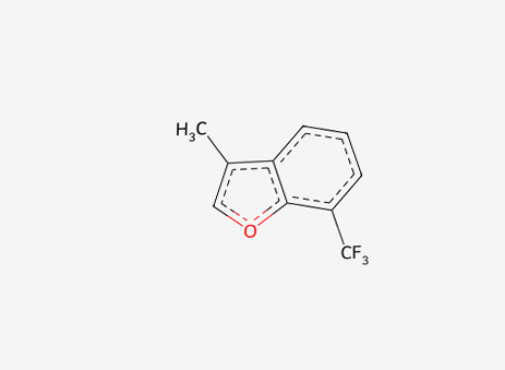 Cc1coc2c(C(F)(F)F)cccc12